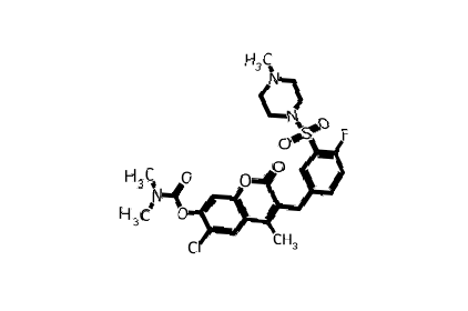 Cc1c(Cc2ccc(F)c(S(=O)(=O)N3CCN(C)CC3)c2)c(=O)oc2cc(OC(=O)N(C)C)c(Cl)cc12